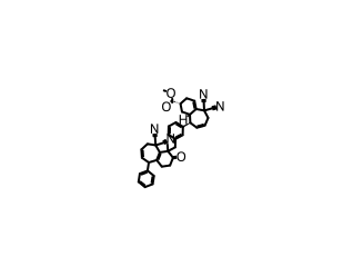 COC(=O)[C@@H]1CC=C2[C@@H](C1)[C@H](c1cccc(CC3(C)C(=O)CCC4=C3C(C#N)(C#N)CC=CC4c3ccccc3)c1)C=CCC2(C#N)C#N